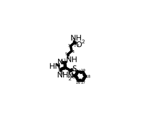 NC(=O)CCCNc1n[nH]c(N)c1-c1nc2ccccc2s1